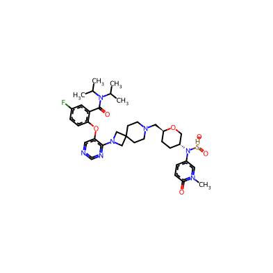 CC(C)N(C(=O)c1cc(F)ccc1Oc1cncnc1N1CC2(CCN(C[C@@H]3CC[C@@H](N(c4ccc(=O)n(C)c4)[SH](=O)=O)CO3)CC2)C1)C(C)C